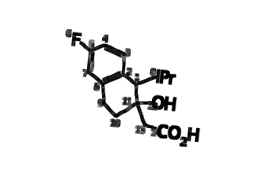 CC(C)C1c2ccc(F)cc2CCC1(O)CC(=O)O